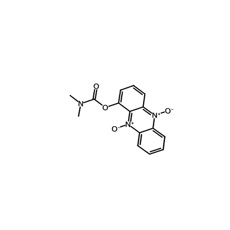 CN(C)C(=O)Oc1cccc2c1[n+]([O-])c1ccccc1[n+]2[O-]